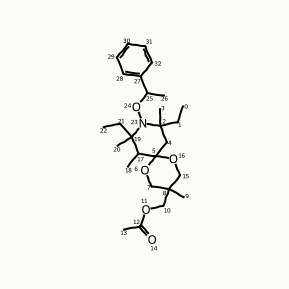 CCC1(C)CC2(OCC(C)(COC(C)=O)CO2)C(C)C(C)(CC)N1OC(C)c1ccccc1